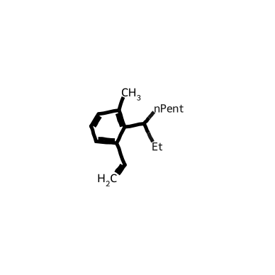 C=Cc1cccc(C)c1C(CC)CCCCC